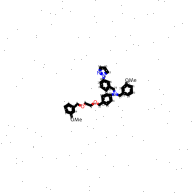 COc1cccc(COCCOCc2ccc(N(Cc3cccc(OC)c3)Cc3cccc(-n4cccn4)c3)cc2)c1